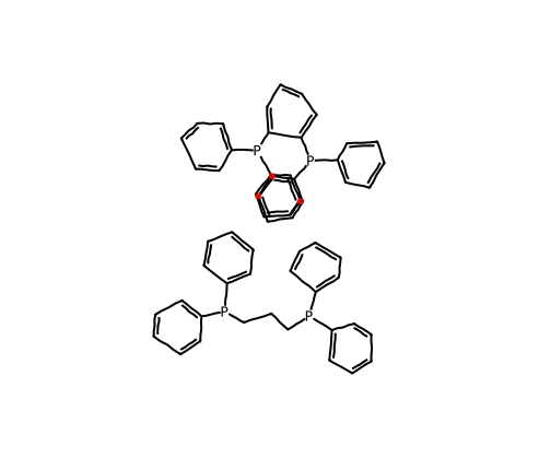 c1ccc(P(CCCP(c2ccccc2)c2ccccc2)c2ccccc2)cc1.c1ccc(P(c2ccccc2)c2ccccc2P(c2ccccc2)c2ccccc2)cc1